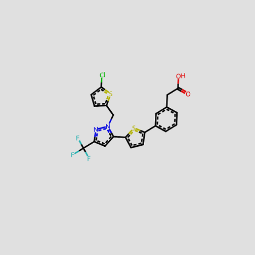 O=C(O)Cc1cccc(-c2ccc(-c3cc(C(F)(F)F)nn3Cc3ccc(Cl)s3)s2)c1